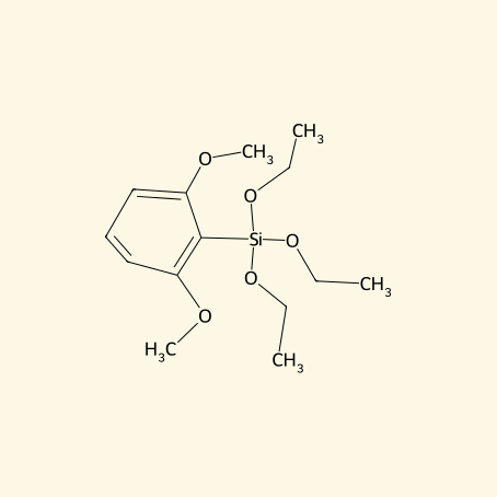 CCO[Si](OCC)(OCC)c1c(OC)cccc1OC